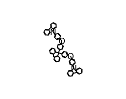 Cc1ccccc1C(c1ccccc1)(c1ccc(Oc2ccc(-n3c4ccccc4c4ccccc43)cc2)cc1)c1ccc(Oc2ccc(-n3c4ccccc4c4ccccc43)cc2)cc1